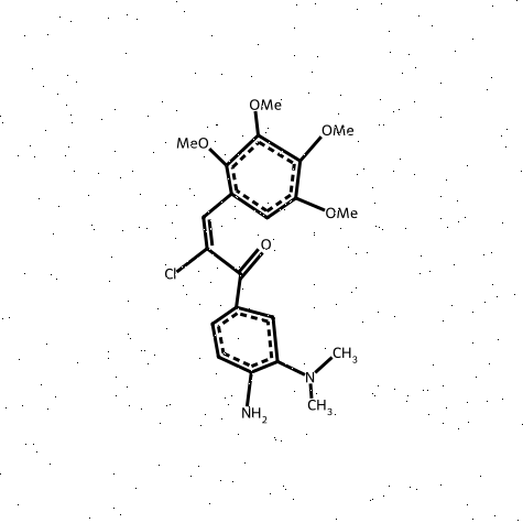 COc1cc(/C=C(/Cl)C(=O)c2ccc(N)c(N(C)C)c2)c(OC)c(OC)c1OC